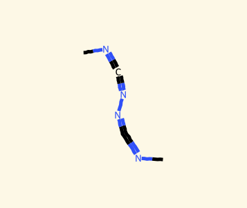 CN=C=NN=C=NC